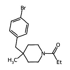 CCC(=O)N1CCC(C)(Cc2ccc(Br)cc2)CC1